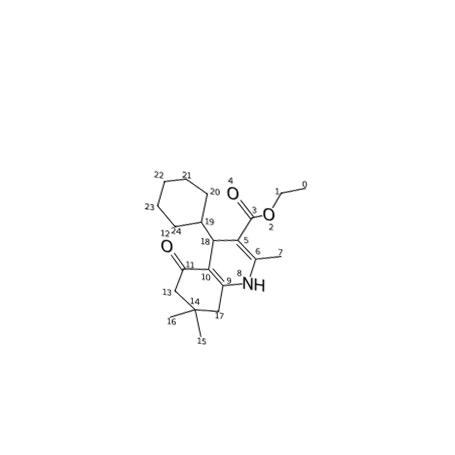 CCOC(=O)C1=C(C)NC2=C(C(=O)CC(C)(C)C2)C1C1CCCCC1